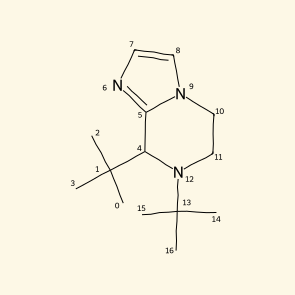 CC(C)(C)C1c2nccn2CCN1C(C)(C)C